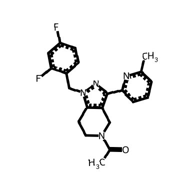 CC(=O)N1CCc2c(c(-c3cccc(C)n3)nn2Cc2ccc(F)cc2F)C1